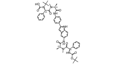 C[C@@H](C(=O)Nc1ccc2[nH]c(-c3ccc(NC(=O)[C@H](C)N(C)C(=O)[C@@H](c4ccccc4)N(C(=O)O)C(C)(C)C)cc3)cc2c1)N(C)C(=O)[C@H](NC(=O)OC(C)(C)C)c1ccccc1